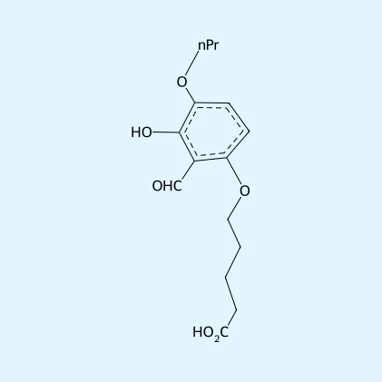 CCCOc1ccc(OCCCCC(=O)O)c(C=O)c1O